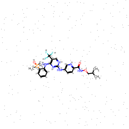 CC(C)CONC(=O)c1ccc(Nc2ncc(C(F)(F)F)c(Nc3ccccc3P(C)(C)=O)n2)cn1